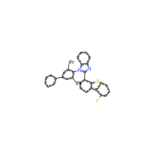 CC(C)c1cc(-c2ccccc2)cc(C(C)C)c1-n1c(-c2cccc3c2sc2cccc(F)c23)nc2ccccc21